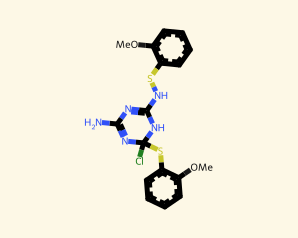 COc1ccccc1SNC1=NC(N)=NC(Cl)(Sc2ccccc2OC)N1